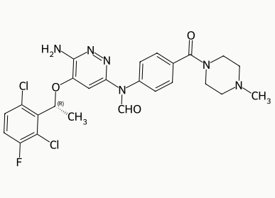 C[C@@H](Oc1cc(N(C=O)c2ccc(C(=O)N3CCN(C)CC3)cc2)nnc1N)c1c(Cl)ccc(F)c1Cl